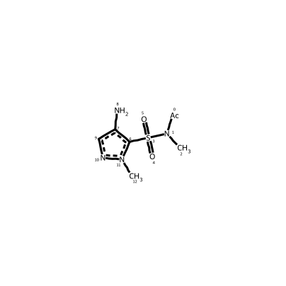 CC(=O)N(C)S(=O)(=O)c1c(N)cnn1C